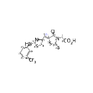 O=C(O)CN1C(=O)/C(=C/c2csc(Nc3cccc(C(F)(F)F)c3)n2)SC1=S